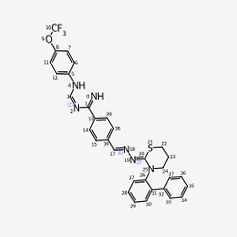 N=C(/N=C\Nc1ccc(OC(F)(F)F)cc1)c1ccc(/C=N/N=C2\SCCCN2c2ccccc2-c2ccccc2)cc1